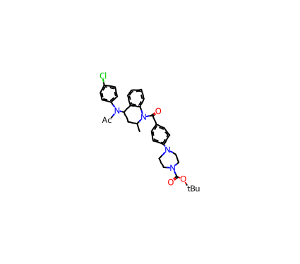 CC(=O)N(c1ccc(Cl)cc1)C1CC(C)N(C(=O)c2ccc(N3CCN(C(=O)OC(C)(C)C)CC3)cc2)c2ccccc21